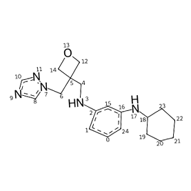 c1cc(NCC2(Cn3cncn3)COC2)cc(NC2CCCCC2)c1